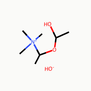 CC(O)OC(C)[N+](C)(C)C.[OH-]